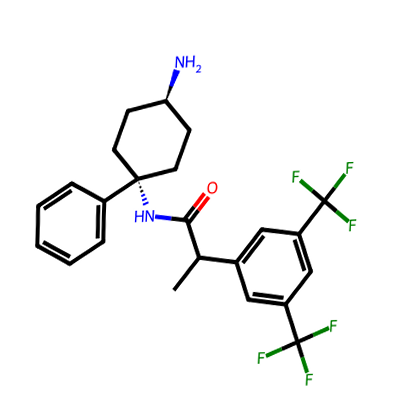 CC(C(=O)N[C@]1(c2ccccc2)CC[C@@H](N)CC1)c1cc(C(F)(F)F)cc(C(F)(F)F)c1